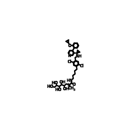 CN(CC(O)C(O)C(O)C(O)CO)C(=O)NCCCCCc1cc(Cl)c(CNC2(c3cnccc3-c3ccccc3OC3CC3)CC2)cc1Cl